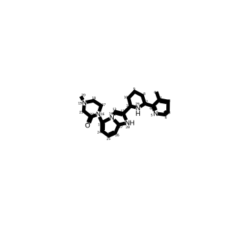 Cc1cccnc1C1CCCC(C2=CN3C(N4CCN(C)CC4=O)=CC=CC3N2)N1